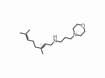 CC(C)=CCC/C(C)=C/CNCCCN1CCOCC1